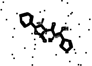 C[C@H]1C(c2ccccc2)OC(=O)N1C(=O)[C@@H](Br)[C@H](O)c1ccsc1